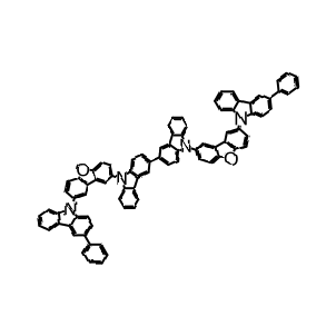 c1ccc(-c2ccc3c(c2)c2ccccc2n3-c2ccc3oc4ccc(-n5c6ccccc6c6cc(-c7ccc8c(c7)c7ccccc7n8-c7ccc8oc9ccc(-n%10c%11ccccc%11c%11cc(-c%12ccccc%12)ccc%11%10)cc9c8c7)ccc65)cc4c3c2)cc1